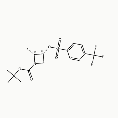 C[C@@H]1[C@H](OS(=O)(=O)c2ccc(C(F)(F)F)cc2)CN1C(=O)OC(C)(C)C